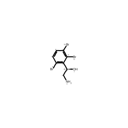 NC[C@H](O)c1c(Br)ccc(Br)c1Br